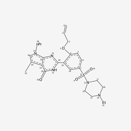 C=CCOc1ccc(S(=O)(=O)N2CCN(CC)CC2)cc1-c1nc2c(c(C)cn2CCC)c(=O)[nH]1